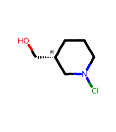 OC[C@@H]1CCCN(Cl)C1